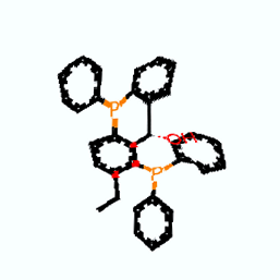 CCC[C@@H](C[C@@H](O)c1ccccc1P(c1ccccc1)c1ccccc1)P(c1ccccc1)c1ccccc1